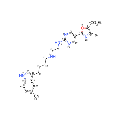 CCOC(=O)c1oc(-c2cnc(NCCNCCCCc3c[nH]c4ccc(C#N)cc34)nc2)nc1C